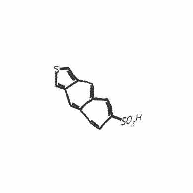 O=S(=O)(O)c1ccc2cc3[c]s[c]c3cc2c1